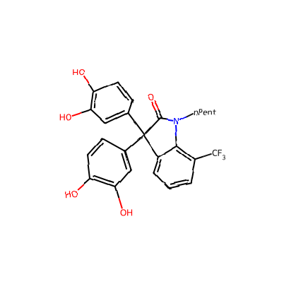 CCCCCN1C(=O)C(c2ccc(O)c(O)c2)(c2ccc(O)c(O)c2)c2cccc(C(F)(F)F)c21